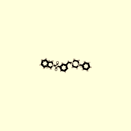 O=S(=O)(c1cccc(CN2CCN(c3ccccc3)CC2)c1)N1Cc2ccccc2C1